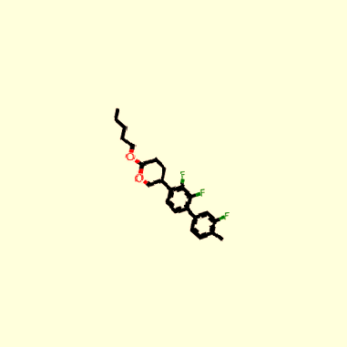 CCCCCOC1CCC(c2ccc(-c3ccc(C)c(F)c3)c(F)c2F)CO1